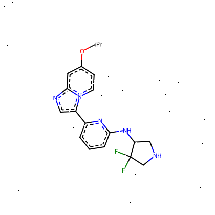 CC(C)Oc1ccn2c(-c3cccc(NC4CNCC4(F)F)n3)cnc2c1